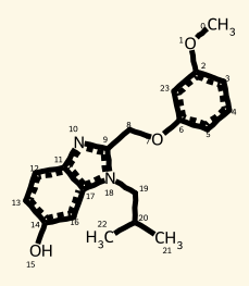 COc1cccc(OCc2nc3ccc(O)cc3n2CC(C)C)c1